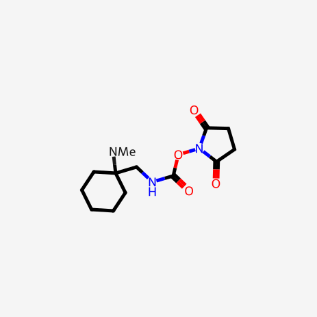 CNC1(CNC(=O)ON2C(=O)CCC2=O)CCCCC1